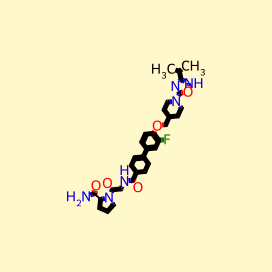 CC(C)C1N=C(N2CCC(COc3ccc(C4=CCC(C(=O)NCC(=O)N5CCC[C@H]5C(N)=O)CC4)cc3F)CC2)ON1